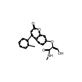 CNC(=O)C(=CO)Oc1ccc2c(-c3ccccc3C)cc(=O)oc2c1